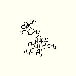 C=C(C)C(=O)NCC(CNC(=O)C(=C)C)Oc1ccc(C(=O)O)c(C(=O)O)c1